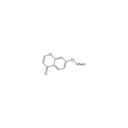 CCCCCOc1ccc2c(=O)ccoc2c1